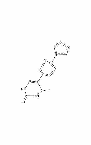 CC1NC(=O)NN=C1c1ccc(-n2ccnc2)nc1